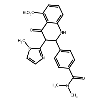 CCOC(=O)c1cccc2c1C(=O)C(c1nccn1C)C(c1ccc(C(=O)N(C)C)cc1)N2